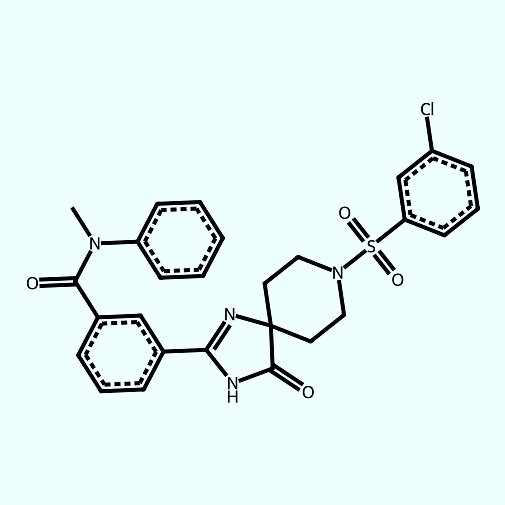 CN(C(=O)c1cccc(C2=NC3(CCN(S(=O)(=O)c4cccc(Cl)c4)CC3)C(=O)N2)c1)c1ccccc1